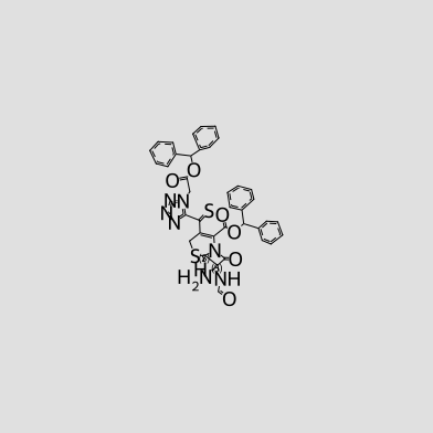 N[C@]1(NC=O)C(=O)N2C(C(=O)OC(c3ccccc3)c3ccccc3)=C(C(=S)c3nnnn3CC(=O)OC(c3ccccc3)c3ccccc3)CS[C@H]21